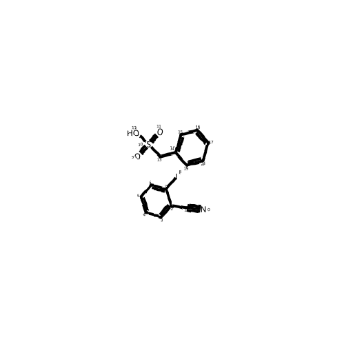 N#Cc1ccccc1I.O=S(=O)(O)Cc1ccccc1